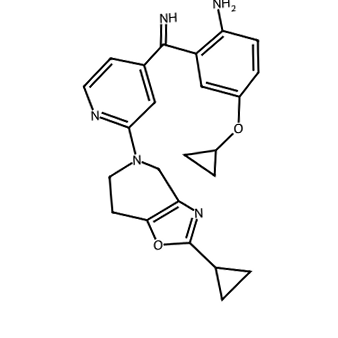 N=C(c1ccnc(N2CCc3oc(C4CC4)nc3C2)c1)c1cc(OC2CC2)ccc1N